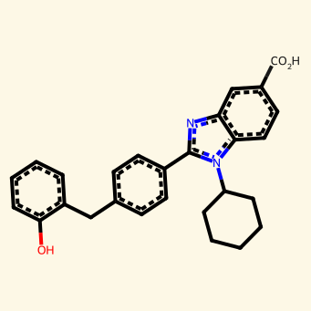 O=C(O)c1ccc2c(c1)nc(-c1ccc(Cc3ccccc3O)cc1)n2C1CCCCC1